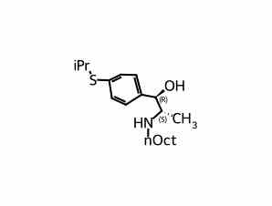 CCCCCCCCN[C@@H](C)[C@H](O)c1ccc(SC(C)C)cc1